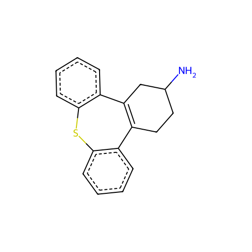 NC1CCC2=C(C1)c1ccccc1Sc1ccccc12